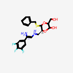 N/C(=C\NC[C@@H]1OC(O)C(CO)OC1SCc1ccccc1)c1cc(F)c(F)c(F)c1